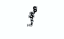 OCCON=Cc1cnc2nnn(Cc3ccc4ncccc4c3)c2n1